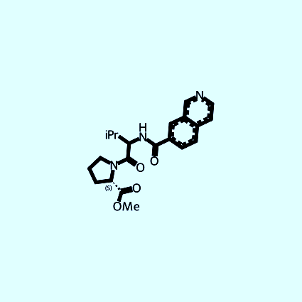 COC(=O)[C@@H]1CCCN1C(=O)C(NC(=O)c1ccc2ccncc2c1)C(C)C